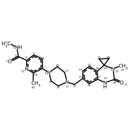 CNC(=O)c1ccc(N2CCN(Cc3ccc4c(c3)NC(=O)N(C)C43CC3)CC2)c(C)n1